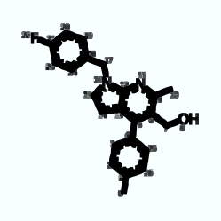 Cc1ccc(-c2c(CO)c(C)nc3c2ccn3Cc2ccc(F)cc2)cc1